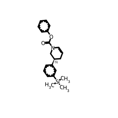 C[Si](C)(C)c1cccc([C@@H]2CC=CN(C(=O)Oc3ccccc3)C2)c1